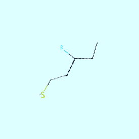 CCC(F)CC[S]